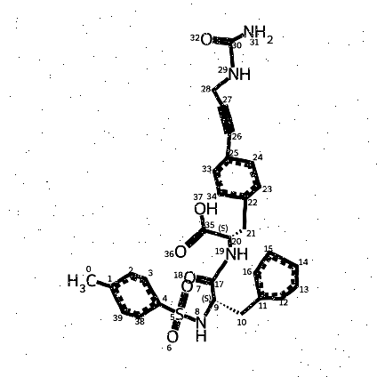 Cc1ccc(S(=O)(=O)N[C@@H](Cc2ccccc2)C(=O)N[C@@H](Cc2ccc(C#CCNC(N)=O)cc2)C(=O)O)cc1